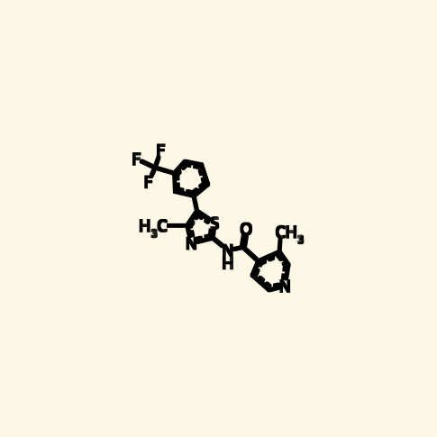 Cc1cnccc1C(=O)Nc1nc(C)c(-c2cccc(C(F)(F)F)c2)s1